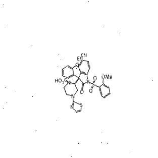 CCOc1ccccc1C1(C2CN(c3nccs3)CCN2C(=O)O)C(=O)N(S(=O)(=O)c2ccccc2OC)c2ccc(C#N)cc21